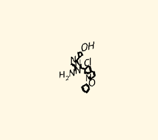 Nc1nc(-c2cc3nc(Oc4ccccc4)ccc3cc2Cl)cn2c(C3CC(O)C3)ncc12